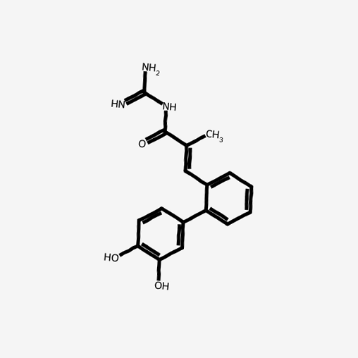 C/C(=C\c1ccccc1-c1ccc(O)c(O)c1)C(=O)NC(=N)N